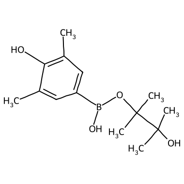 Cc1cc(B(O)OC(C)(C)C(C)(C)O)cc(C)c1O